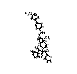 Cc1nc(-c2ccc(NCc3nc4cc(C(C)(C(=O)N5CCCC5)N(C)c5nnn[nH]5)ccc4n3C)cc2)no1